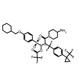 NC1CCN(C(=O)[C@H](N(OC(=O)C(F)(F)F)S(=O)(=O)c2ccc(OCC3CCCCC3)cc2)C(F)(F)c2ccc(C3(C(F)(F)F)CC3)cc2)CC1